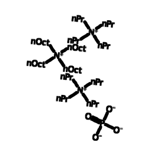 CCCCCCCC[N+](CCCCCCCC)(CCCCCCCC)CCCCCCCC.CCC[N+](CCC)(CCC)CCC.CCC[N+](CCC)(CCC)CCC.O=P([O-])([O-])[O-]